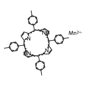 Cc1ccc(-c2c3nc(c(-c4ccc(C)cc4)c4ccc([nH]4)c(-c4ccc(C)cc4)c4nc(c(-c5ccc(C)cc5)c5ccc2[nH]5)C=C4)C=C3)cc1.[Mn+2]